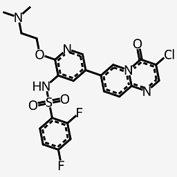 CN(C)CCOc1ncc(-c2ccc3ncc(Cl)c(=O)n3c2)cc1NS(=O)(=O)c1ccc(F)cc1F